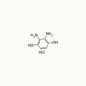 Cl.Nc1c(O)ccc(O)c1N